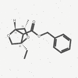 CC[C@]12CO[C@@H](C1C(=O)OCc1ccccc1)[C@H](C)O2